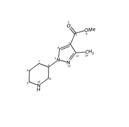 COC(=O)c1cn(C2CCCNC2)nc1C